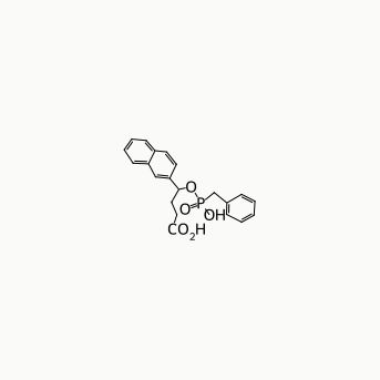 O=C(O)CCC(OP(=O)(O)Cc1ccccc1)c1ccc2ccccc2c1